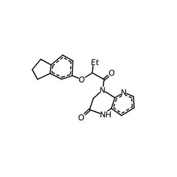 CCC(Oc1ccc2c(c1)CCC2)C(=O)N1CC(=O)Nc2cccnc21